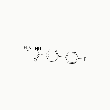 NNC(=O)[C@@H]1CC=C(c2ccc(F)cc2)CC1